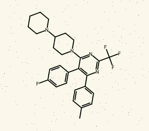 Cc1ccc(-c2nc(C(F)(F)F)nc(N3CCC(N4CCCCC4)CC3)c2-c2ccc(F)cc2)cc1